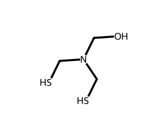 OCN(CS)CS